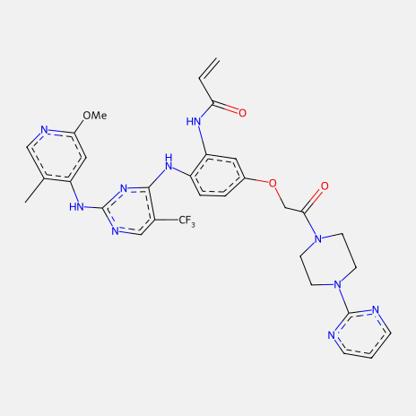 C=CC(=O)Nc1cc(OCC(=O)N2CCN(c3ncccn3)CC2)ccc1Nc1nc(Nc2cc(OC)ncc2C)ncc1C(F)(F)F